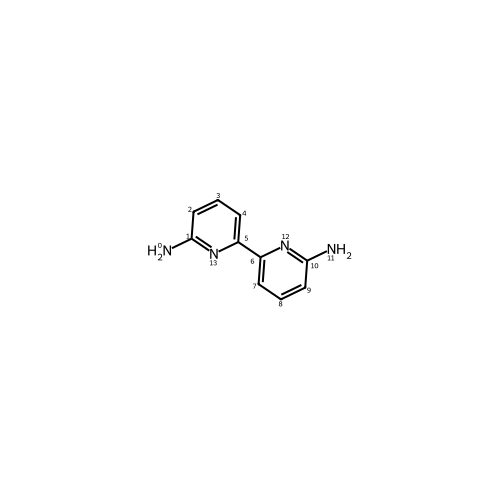 Nc1cccc(-c2cccc(N)n2)n1